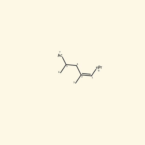 CCCC=C(C)CC(C)C(C)=O